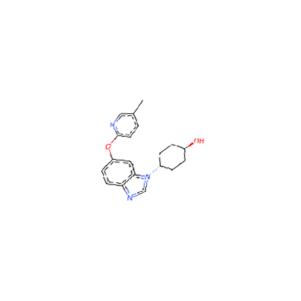 Cc1ccc(Oc2ccc3ncn([C@H]4CC[C@H](O)CC4)c3c2)nc1